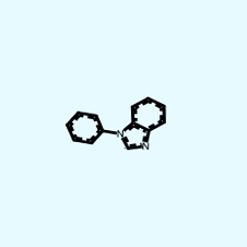 [c]1nc2ccccc2n1-c1ccccc1